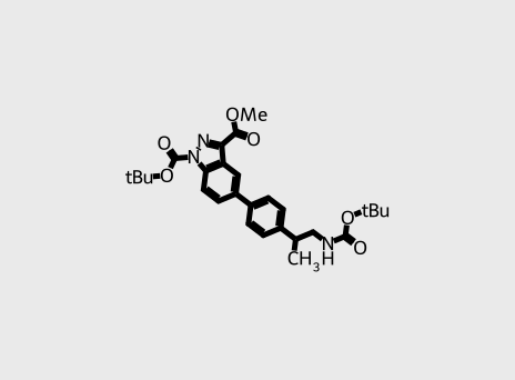 COC(=O)c1nn(C(=O)OC(C)(C)C)c2ccc(-c3ccc(C(C)CNC(=O)OC(C)(C)C)cc3)cc12